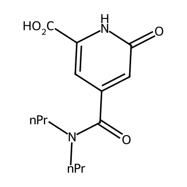 CCCN(CCC)C(=O)c1cc(C(=O)O)[nH]c(=O)c1